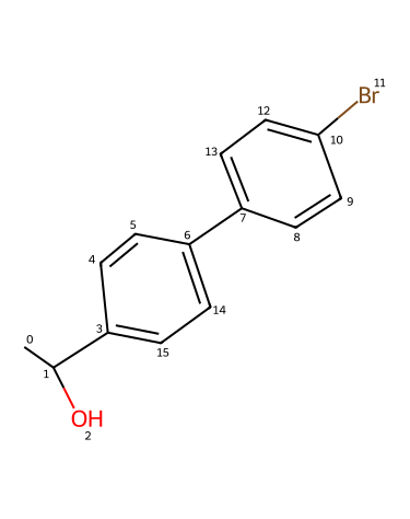 CC(O)c1ccc(-c2ccc(Br)cc2)cc1